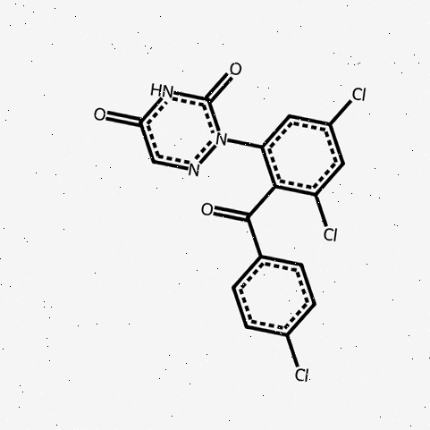 O=C(c1ccc(Cl)cc1)c1c(Cl)cc(Cl)cc1-n1ncc(=O)[nH]c1=O